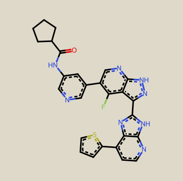 O=C(Nc1cncc(-c2cnc3[nH]nc(-c4nc5c(-c6cccs6)ccnc5[nH]4)c3c2F)c1)C1CCCC1